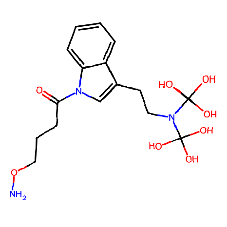 NOCCCC(=O)n1cc(CCN(C(O)(O)O)C(O)(O)O)c2ccccc21